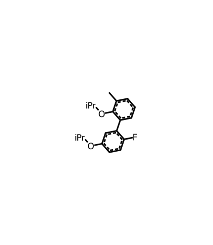 Cc1cccc(-c2cc(OC(C)C)ccc2F)c1OC(C)C